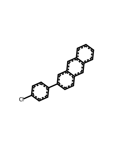 Clc1ccc(-c2ccc3cc4ccccc4cc3c2)cc1